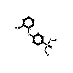 CCOP(=O)(OCC)c1ccc(Oc2ccccc2[N+](=O)[O-])cc1